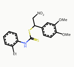 CCc1ccccc1NC(=S)SC(C[N+](=O)[O-])c1ccc(OC)c(OC)c1